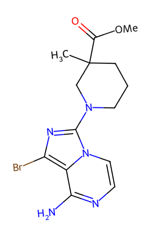 COC(=O)C1(C)CCCN(c2nc(Br)c3c(N)nccn23)C1